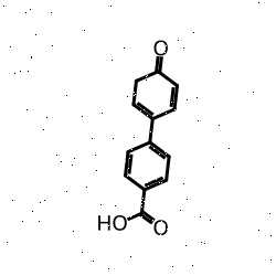 O=C1C=CC(c2ccc(C(=O)O)cc2)=CC1